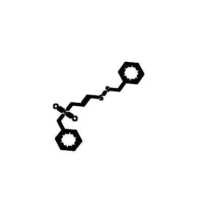 O=S(=O)(CC=CSSCc1ccccc1)Cc1ccccc1